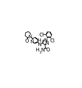 NC(=O)c1nn(-c2c(Cl)cccc2Cl)cc1Nc1ccc(N2CCCCC2=O)nc1